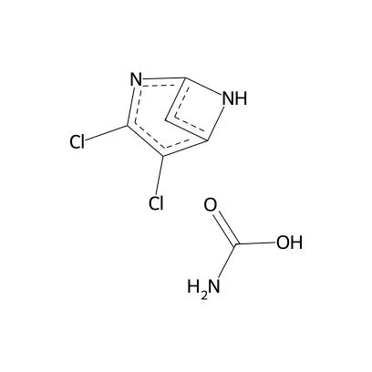 Clc1nc2cc(c1Cl)N2.NC(=O)O